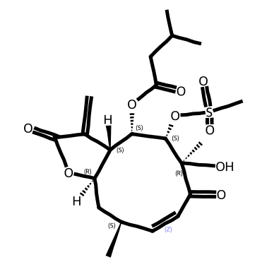 C=C1C(=O)O[C@@H]2C[C@H](C)/C=C\C(=O)[C@](C)(O)[C@@H](OS(C)(=O)=O)[C@@H](OC(=O)CC(C)C)[C@@H]12